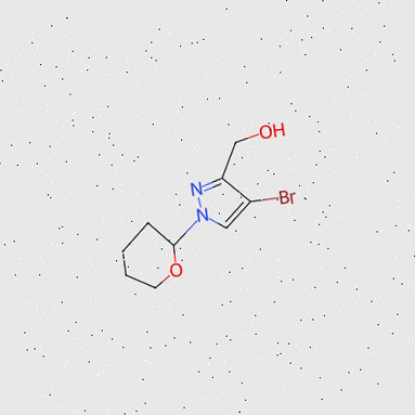 OCc1nn(C2CCCCO2)cc1Br